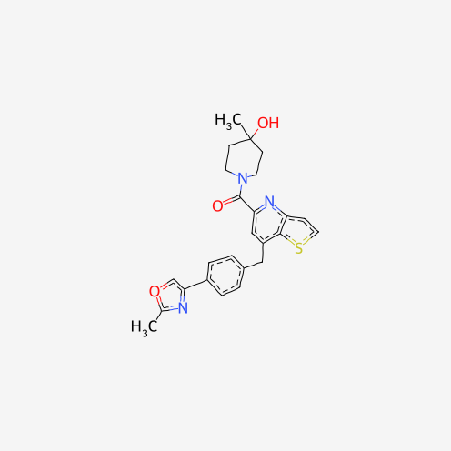 Cc1nc(-c2ccc(Cc3cc(C(=O)N4CCC(C)(O)CC4)nc4ccsc34)cc2)co1